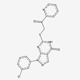 O=C(CSc1nc2c(cnn2-c2cccc(Cl)c2)c(=O)[nH]1)c1ccccn1